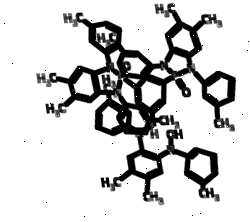 Cc1cccc(N(O)c2cc(C)c(C)cc2N(Pc2cc(P3(=O)N(c4cccc(C)c4)c4cc(C)c(C)cc4N3c3cccc(C)c3)cc(P3(=O)N(c4cccc(C)c4)c4cc(C)c(C)cc4N3c3cccc(C)c3)c2)c2cccc(C)c2)c1